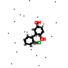 Oc1ccc(O)c(-c2ccccc2Cl)c1